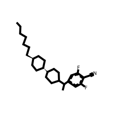 CCCCCCC[C@H]1CC[C@H](C2CCC(C(C)c3cc(F)c(C#N)c(F)c3)CC2)CC1